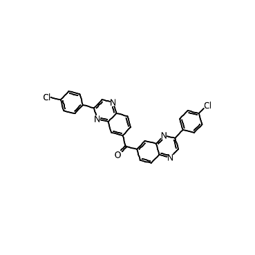 O=C(c1ccc2ncc(-c3ccc(Cl)cc3)nc2c1)c1ccc2ncc(-c3ccc(Cl)cc3)nc2c1